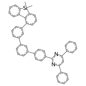 C[Si]1(C)c2ccccc2-c2c(-c3cccc(-c4cccc(-c5ccc(-c6nc(-c7ccccc7)cc(-c7ccccc7)n6)cc5)c4)c3)cccc21